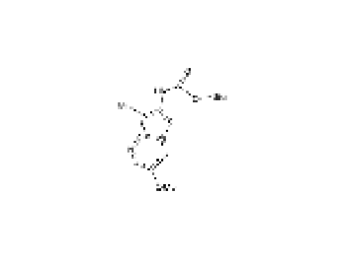 COc1cnc2c(Br)c(NC(=O)OC(C)(C)C)sc2c1